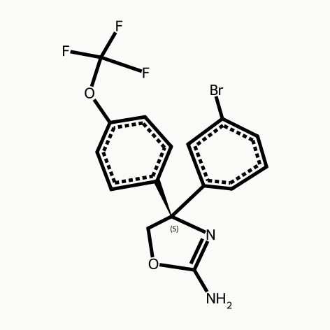 NC1=N[C@@](c2ccc(OC(F)(F)F)cc2)(c2cccc(Br)c2)CO1